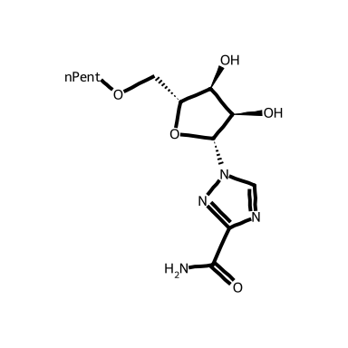 CCCCCOC[C@H]1O[C@@H](n2cnc(C(N)=O)n2)[C@H](O)[C@@H]1O